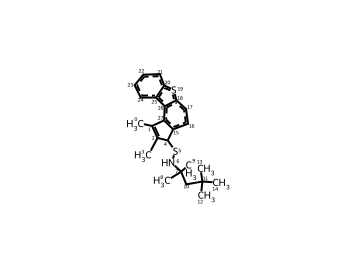 CC1=C(C)C(SNC(C)(C)CC(C)(C)C)c2ccc3sc4ccccc4c3c21